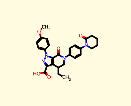 CCC1CN(c2ccc(N3CCCCC3=O)cc2)C(=O)c2c1c(C(=O)O)nn2-c1ccc(OC)cc1